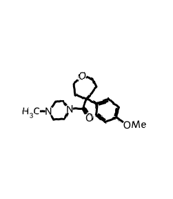 COc1ccc(C2(C(=O)N3CCN(C)CC3)CCOCC2)cc1